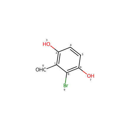 O=Cc1c(O)ccc(O)c1Br